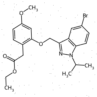 CCOC(=O)Cc1ccc(OC)cc1OCc1nn(C(C)C)c2ccc(Br)cc12